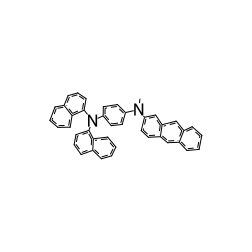 CN(c1ccc(N(c2cccc3ccccc23)c2cccc3ccccc23)cc1)c1ccc2cc3ccccc3cc2c1